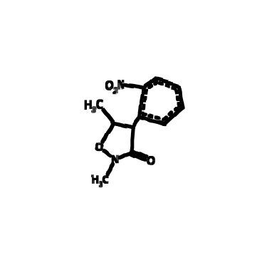 CC1ON(C)C(=O)C1c1ccccc1[N+](=O)[O-]